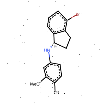 COc1cc(N[C@H]2CCc3c(Br)cccc32)ccc1C#N